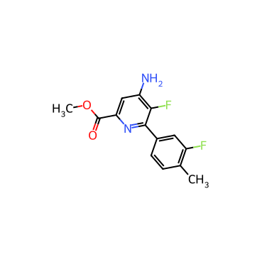 COC(=O)c1cc(N)c(F)c(-c2ccc(C)c(F)c2)n1